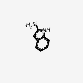 [SiH2]c1cc2ccccc2[nH]1